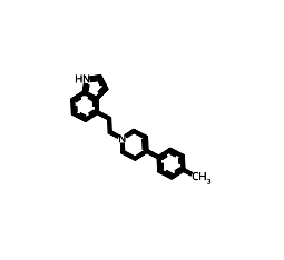 Cc1ccc(C2=CCN(CCc3cccc4[nH]ccc34)CC2)cc1